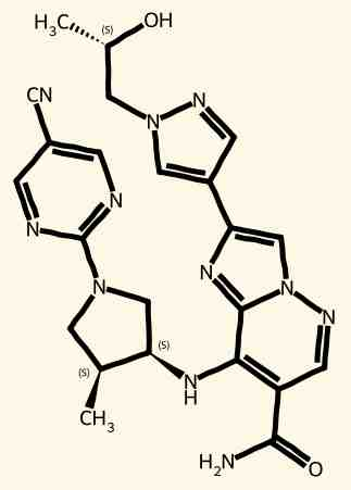 C[C@H](O)Cn1cc(-c2cn3ncc(C(N)=O)c(N[C@@H]4CN(c5ncc(C#N)cn5)C[C@@H]4C)c3n2)cn1